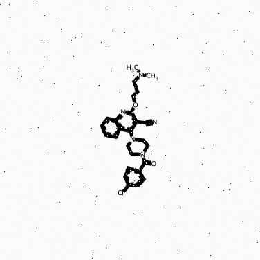 CN(C)CCCOc1nc2ccccc2c(N2CCN(C(=O)c3ccc(Cl)cc3)CC2)c1C#N